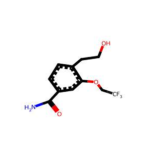 NC(=O)c1ccc(CCO)c(OCC(F)(F)F)c1